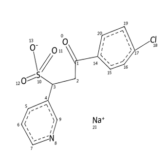 O=C(CC(c1cccnc1)S(=O)(=O)[O-])c1ccc(Cl)cc1.[Na+]